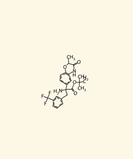 CC1Oc2ccc(C(N)(Cc3cccc(C(F)(F)F)c3)C(=O)OC(C)(C)C)cc2NC1=O